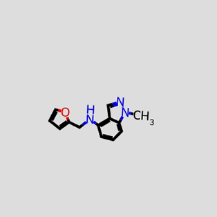 Cn1ncc2c(NCc3ccco3)cccc21